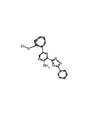 CCSc1ccccc1-c1cnc(N)c(-c2nnc(-c3ccccc3)o2)n1